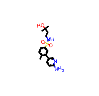 Cc1ccc(S(=O)(=O)NCCC(C)(C)O)cc1-c1ccc(N)nc1